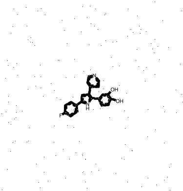 Oc1ccc(-c2[nH]c(-c3ccc(F)cc3)cc2-c2ccncc2)cc1O